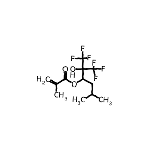 C=C(C)C(=O)OC(CC(C)C)C(O)(C(F)(F)F)C(F)(F)F